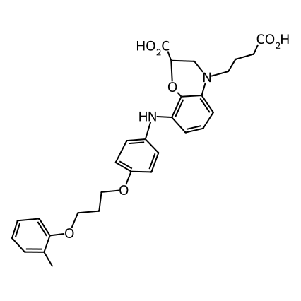 Cc1ccccc1OCCCOc1ccc(Nc2cccc3c2OC(C(=O)O)CN3CCCC(=O)O)cc1